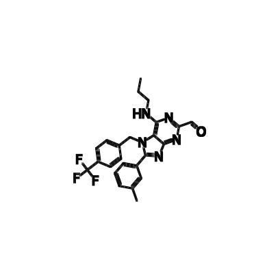 CCCNc1nc(C=O)nc2nc(-c3cccc(C)c3)n(Cc3ccc(C(F)(F)F)cc3)c12